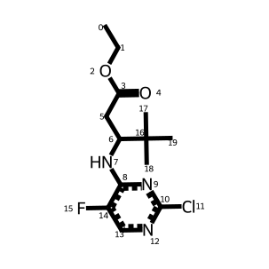 CCOC(=O)CC(Nc1nc(Cl)ncc1F)C(C)(C)C